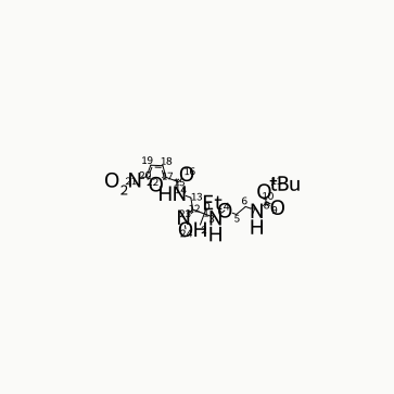 CCC(C)(NOCCNC(=O)OC(C)(C)C)C(CNC(=O)c1ccc([N+](=O)[O-])o1)=NO